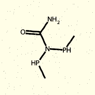 CPN(PC)C(N)=O